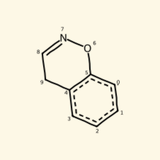 [c]1cccc2c1ON=CC2